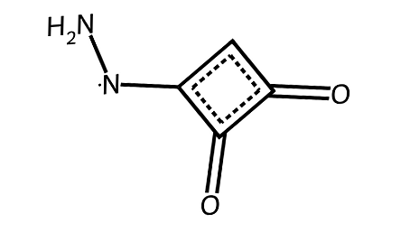 N[N]c1cc(=O)c1=O